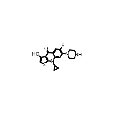 O=c1c2cc(F)c(N3CCNCC3)cc2n(C2CC2)c2scc(O)c12